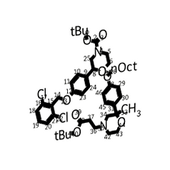 CC(C)(C)OC(=O)N1CCOC(c2ccc(OCc3c(Cl)cccc3Cl)cc2)C1.CCCCCCCCOc1ccc(C2(C)CN(CCC(=O)OC(C)(C)C)CCO2)cc1